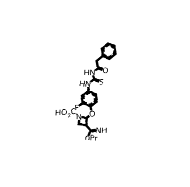 CCCC(=N)C1CN(C(=O)O)C1Oc1ccc(NC(=S)NC(=O)Cc2ccccc2)cc1F